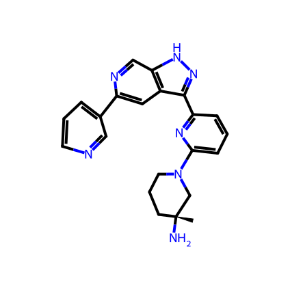 C[C@@]1(N)CCCN(c2cccc(-c3n[nH]c4cnc(-c5cccnc5)cc34)n2)C1